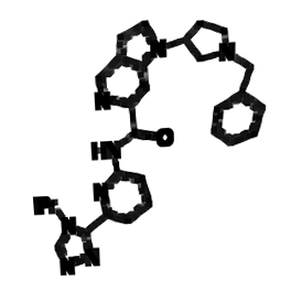 CC(C)n1cnnc1-c1cccc(NC(=O)c2cc3c(ccn3C3CCN(Cc4ccccc4)C3)cn2)n1